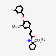 CCOC(=O)C1(NC(=O)C=Cc2ccc(OCc3cccc(F)c3)c(OC)c2)CCCC1